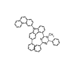 CN1C(c2cccc3c2c2cc(-c4ccccc4)ccc2n3-c2ccc3ccc4ccccc4c3c2)=NC(c2ccccc2)=NC1c1ccccc1